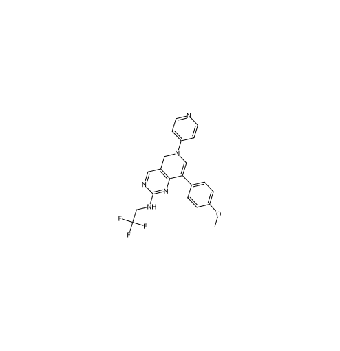 COc1ccc(C2=CN(c3ccncc3)Cc3cnc(NCC(F)(F)F)nc32)cc1